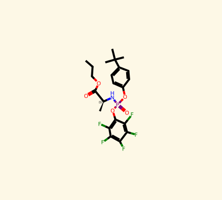 CCCOC(=O)[C@H](C)NP(=O)(Oc1ccc(C(C)(C)C)cc1)Oc1c(F)c(F)c(F)c(F)c1F